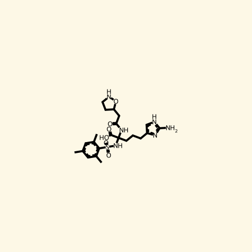 Cc1cc(C)c(S(=O)(=O)NC(CCCc2c[nH]c(N)n2)(NC(=O)CC2CCNO2)C(=O)O)c(C)c1